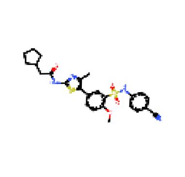 COc1ccc(-c2sc(NC(=O)CC3CCCC3)nc2C)cc1S(=O)(=O)Nc1ccc(C#N)cc1